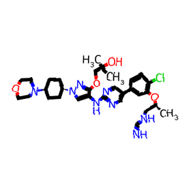 C[C@@H](CNC=N)Oc1cc(-c2cnc(Nc3cn([C@H]4CC[C@H](N5CCOCC5)CC4)nc3OCC(C)(C)O)nc2)ccc1Cl